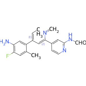 C=N/C(=C\C(=C/C)c1cc(N)c(F)cc1C)c1ccnc(NC=O)c1